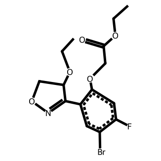 CCOC(=O)COc1cc(F)c(Br)cc1C1=NOCC1OCC